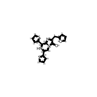 O=c1c(Cc2ccco2)nc2c(-c3cccs3)[nH]c(-c3cccs3)cn1-2